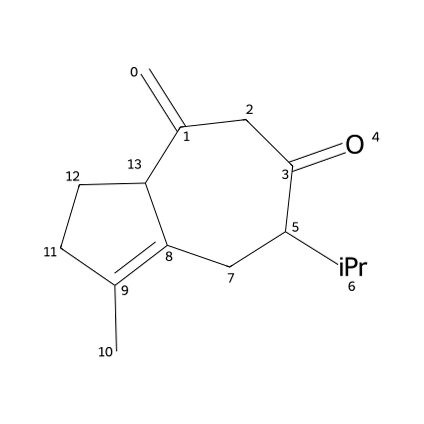 C=C1CC(=O)C(C(C)C)CC2=C(C)CCC12